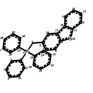 c1ccc([P](Cc2ccc3sc4ccccc4c3c2)(c2ccccc2)c2ccccc2)cc1